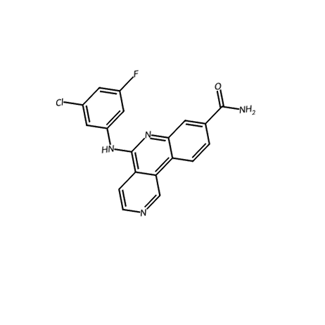 NC(=O)c1ccc2c(c1)nc(Nc1cc(F)cc(Cl)c1)c1ccncc12